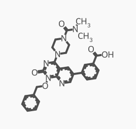 CN(C)C(=O)N1CCN(c2nc(=O)n(OCc3ccccc3)c3ncc(-c4cccc(C(=O)O)c4)cc23)CC1